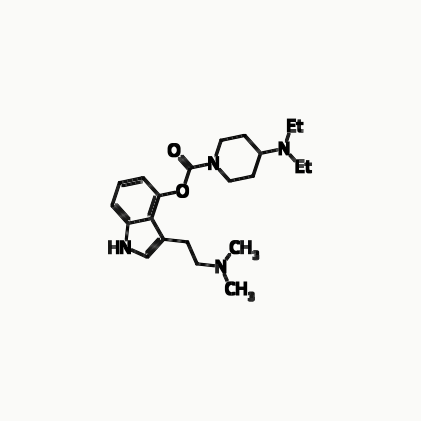 CCN(CC)C1CCN(C(=O)Oc2cccc3[nH]cc(CCN(C)C)c23)CC1